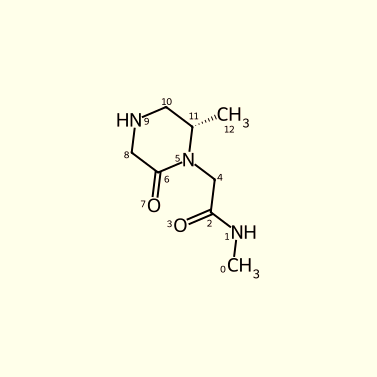 CNC(=O)CN1C(=O)CNC[C@@H]1C